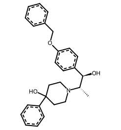 C[C@@H]([C@H](O)c1ccc(OCc2ccccc2)cc1)N1CCC(O)(c2ccccc2)CC1